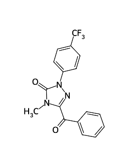 Cn1c(C(=O)c2ccccc2)nn(-c2ccc(C(F)(F)F)cc2)c1=O